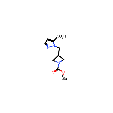 CC(C)(C)OC(=O)N1CC(Cn2nccc2C(=O)O)C1